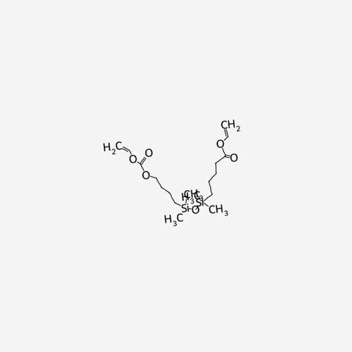 C=COC(=O)CCCC[Si](C)(C)O[Si](C)(C)CCCCOC(=O)OC=C